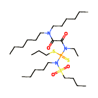 CCCCCCN(CCCCCC)C(=O)C(=O)N(CC)P(=S)(SCCC)N(CCCCC)S(=O)(=O)CCCC